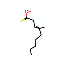 CCCCCC(C)=CCC(O)=S